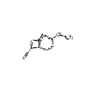 COc1ccc2c(c1)C=C2C#N